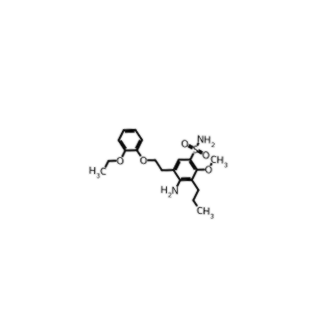 CCCc1c(N)c(CCOc2ccccc2OCC)cc(S(N)(=O)=O)c1OC